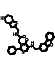 O=C(Cn1c(-c2ccccc2)ncc(NCc2ccc3oc4ccccc4c3c2)c1=O)NCc1cc2c(s1)CCNC2